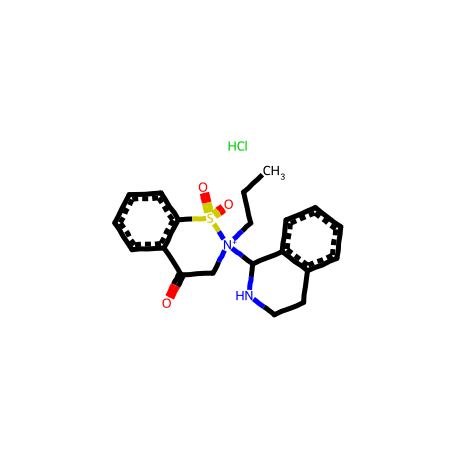 CCC[N+]1(C2NCCc3ccccc32)CC(=O)c2ccccc2S1(=O)=O.Cl